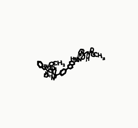 COC(=O)NCC(=O)N1CCC[C@H]1c1ncc(-c2ccc3cc(-c4ccc(-c5cnc([C@@H]6CCCN6C(=O)C(Cc6ccccc6)NC(=O)OC)[nH]5)cc4)ccc3c2)[nH]1